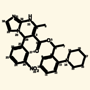 CC1=C(C(=O)OC(C)c2ccccc2N2CCCCC2)C(c2cccc([N+](=O)[O-])c2)n2ccnc2N1